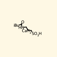 CCC(C)C(=O)NCCCS(=O)(=O)O.[CaH2]